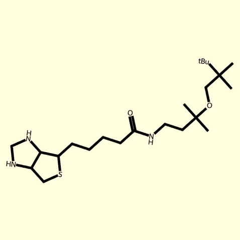 CC(C)(CCNC(=O)CCCCC1SCC2NCNC21)OCC(C)(C)C(C)(C)C